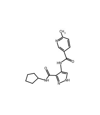 Cc1ccc(C(=O)Nc2c[nH]nc2C(=O)NC2CCCC2)cn1